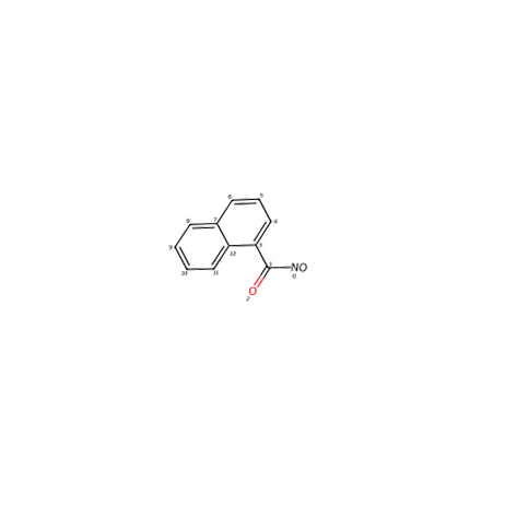 O=NC(=O)c1cccc2ccccc12